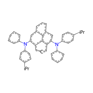 CC(C)c1ccc(N(c2ccccc2)c2cc3cccc4cc(N(c5ccccc5)c5ccc(C(C)C)cc5)c5cccc2c5c34)cc1